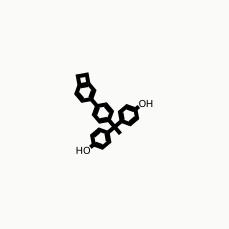 CC(c1ccc(O)cc1)(c1ccc(O)cc1)c1ccc(-c2ccc3c(c2)CC3)cc1